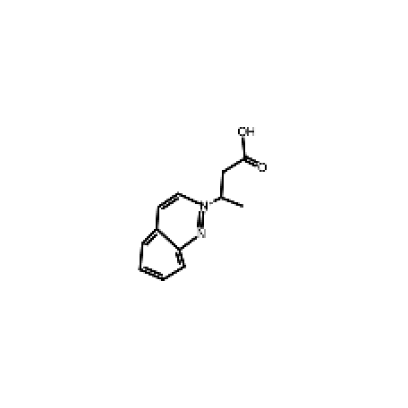 CC(CC(=O)O)[n+]1ccc2ccccc2n1